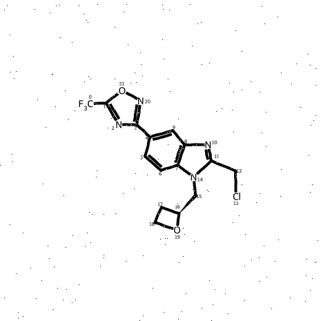 FC(F)(F)c1nc(-c2ccc3c(c2)nc(CCl)n3C[C@@H]2CCO2)no1